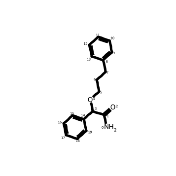 NC(=O)C(OCCCc1ccccc1)c1ccccc1